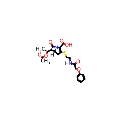 CC(=O)O[C@@H](C)[C@H]1C(=O)N2C(C(=O)O)=C(SCCNC(=O)COc3ccccc3)C[C@H]12